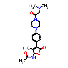 CC(=O)N[C@@H]1OC(=O)C(c2ccc(N3CCN(C(=O)CN(C)C)CC3)cc2)=C1C